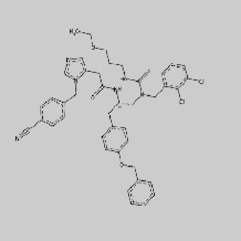 CCOCCCNC(=S)N(Cc1cccc(Cl)c1Cl)C[C@H](Cc1ccc(OCc2ccccc2)cc1)NC(=O)Cc1cncn1Cc1ccc(C#N)cc1